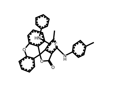 Cc1ccc(Nc2cc(C)c(Nc3ccccc3)c3c2C(=O)OC32c3ccccc3Oc3ccccc32)cc1